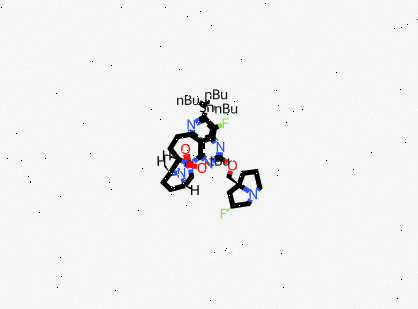 CCC[CH2][Sn]([CH2]CCC)([CH2]CCC)[c]1nc2c3c(nc(OC[C@@]45CCCN4C[C@H](F)C5)nc3c1F)N1C[C@H]3CC[C@@H]([C@H]1CC2)N3C(=O)OC(C)(C)C